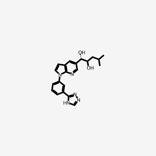 CC(C)CC(O)[C@@H](O)c1cnc2c(ccn2-c2cccc(-c3nnc[nH]3)c2)c1